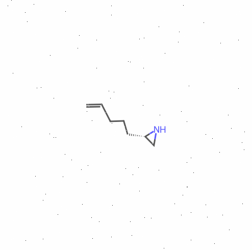 C=CCCC[C@H]1CN1